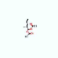 C=C/C=C(\C)C(OC(=O)CC)OC(=O)CC